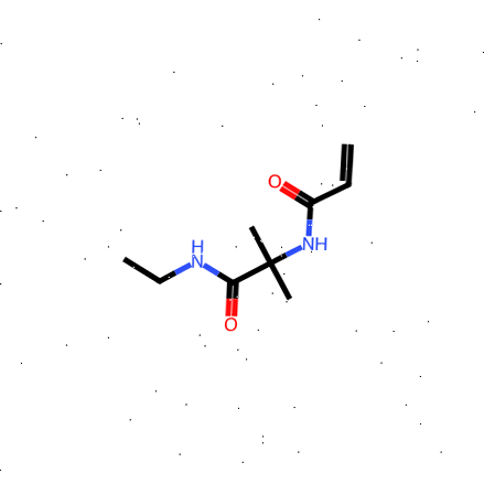 C=CC(=O)NC(C)(C)C(=O)NCC